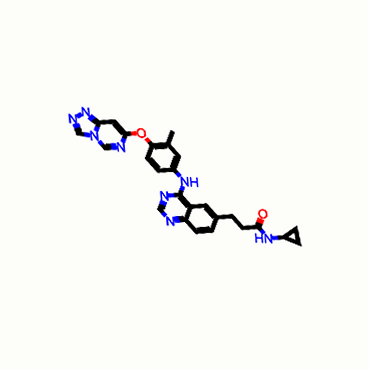 Cc1cc(Nc2ncnc3ccc(CCC(=O)NC4CC4)cc23)ccc1Oc1cc2nncn2cn1